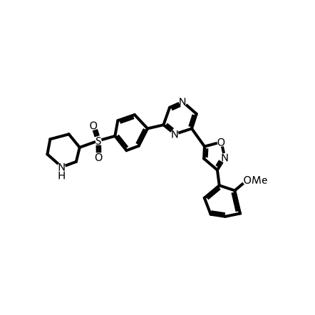 COc1ccccc1-c1cc(-c2cncc(-c3ccc(S(=O)(=O)C4CCCNC4)cc3)n2)on1